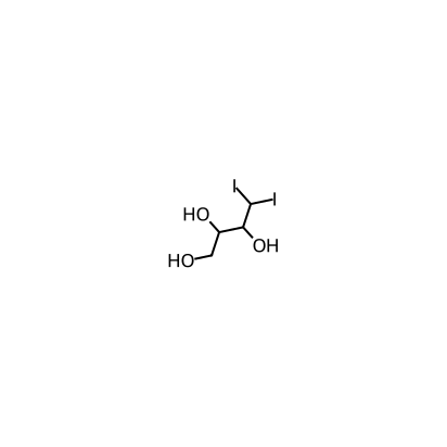 OCC(O)C(O)C(I)I